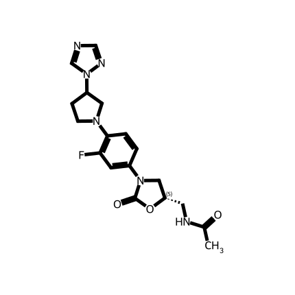 CC(=O)NC[C@H]1CN(c2ccc(N3CCC(n4cncn4)C3)c(F)c2)C(=O)O1